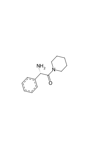 N[C@H](C(=O)N1CCCCC1)c1ccccc1